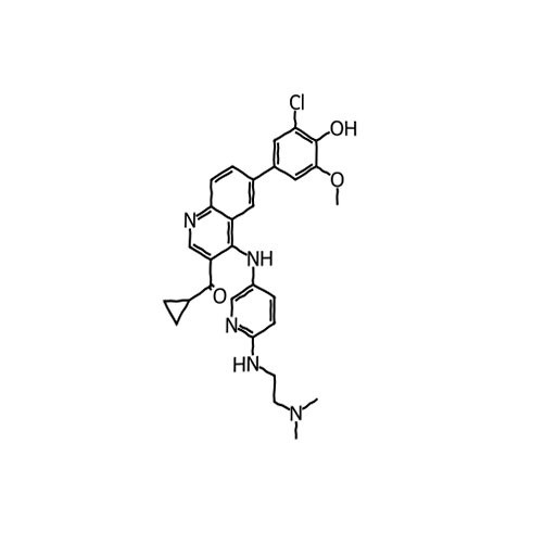 COc1cc(-c2ccc3ncc(C(=O)C4CC4)c(Nc4ccc(NCCN(C)C)nc4)c3c2)cc(Cl)c1O